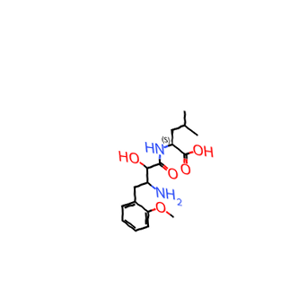 COc1ccccc1CC(N)C(O)C(=O)N[C@@H](CC(C)C)C(=O)O